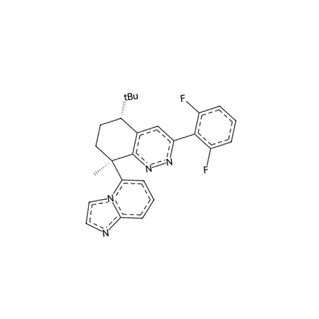 CC(C)(C)[C@H]1CC[C@](C)(c2cccc3nccn23)c2nnc(-c3c(F)cccc3F)cc21